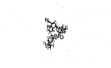 [2H]C([2H])([2H])N1CCO[C@@H](CNC(=O)[C@]23CN(c4ccc(C#N)c5ncccc45)C[C@@]2(C(F)(F)F)C3)C1